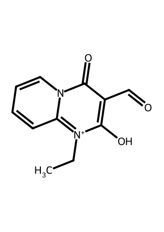 CC[n+]1c(O)c(C=O)c(=O)n2ccccc21